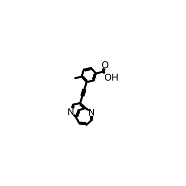 Cc1ccc(C(=O)O)cc1C#Cc1cnc2cc1N=CC=C2